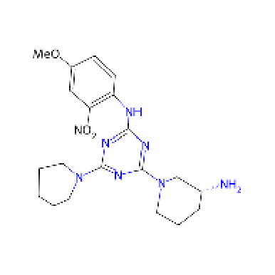 COc1ccc(Nc2nc(N3CCCCC3)nc(N3CCC[C@@H](N)C3)n2)c([N+](=O)[O-])c1